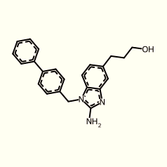 Nc1nc2cc(CCCO)ccc2n1Cc1ccc(-c2ccccc2)cc1